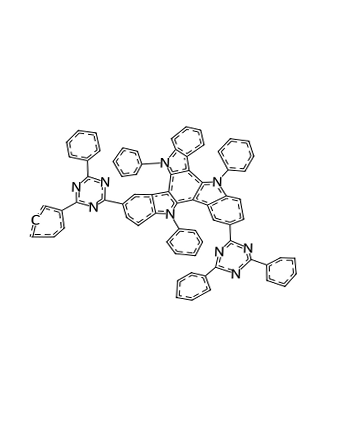 c1ccc(-c2nc(-c3ccccc3)nc(-c3ccc4c(c3)c3c(c5c6ccccc6n(-c6ccccc6)c5c5c6cc(-c7nc(-c8ccccc8)nc(-c8ccccc8)n7)ccc6n(-c6ccccc6)c53)n4-c3ccccc3)n2)cc1